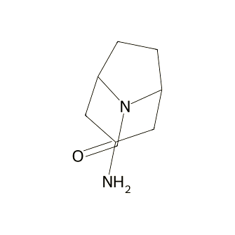 NC1CC2CCC(C1)N2C=O